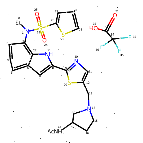 CCN(c1cccc2cc(-c3ncc(CN4CCC(NC(C)=O)C4)s3)[nH]c12)S(=O)(=O)c1cccs1.O=C(O)C(F)(F)F